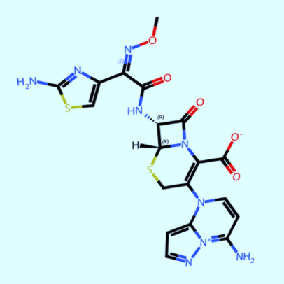 CO/N=C(\C(=O)N[C@@H]1C(=O)N2C(C(=O)[O-])=C(n3ccc(N)[n+]4nccc3-4)CS[C@H]12)c1csc(N)n1